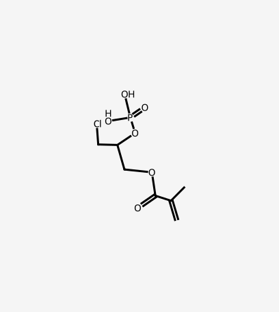 C=C(C)C(=O)OCC(CCl)OP(=O)(O)O